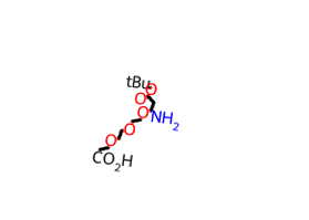 CC(C)(C)OC(=O)CC(N)OCCOCCOCCC(=O)O